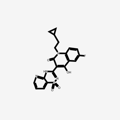 O=c1c(C2=NS(=O)(=O)c3cccnc3N2)c(O)c2cc(F)ccc2n1CCC1CC1